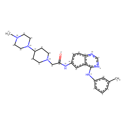 Cc1cccc(Nc2ncnc3ccc(NC(=O)CN4CCC(N5CCN(C)CC5)CC4)cc23)c1